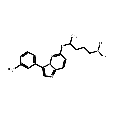 CCN(CC)CCCC(C)Oc1ccc2ncc(-c3cccc(C(=O)O)c3)n2n1